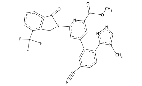 COC(=O)c1cc(-c2cc(C#N)ccc2-c2nncn2C)cc(N2Cc3c(cccc3C(F)(F)F)C2=O)n1